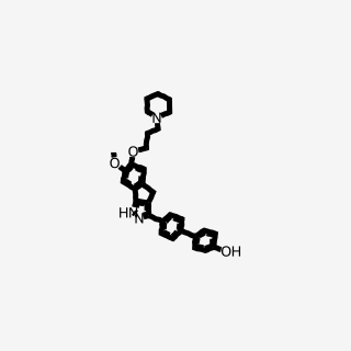 COc1cc2c(cc1OCCCN1CCCCC1)Cc1c(-c3ccc(-c4ccc(O)cc4)cc3)n[nH]c1-2